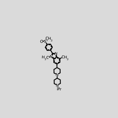 Cc1cc(C2CCN(C3CCN(C(C)C)CC3)CC2)cc2c1nc(-c1ccc([S+](C)[O-])cc1)n2C